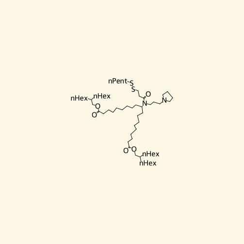 CCCCCCC(CCCCCC)COC(=O)CCCCCCCCC(CCCCCCCCC(=O)OCC(CCCCCC)CCCCCC)N(CCCN1CCCC1)C(=O)CCSSCCCCC